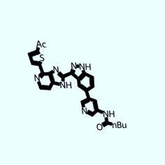 CCCCC(=O)Nc1cncc(-c2ccc3[nH]nc(-c4nc5c(-c6ccc(C(C)=O)s6)nccc5[nH]4)c3c2)c1